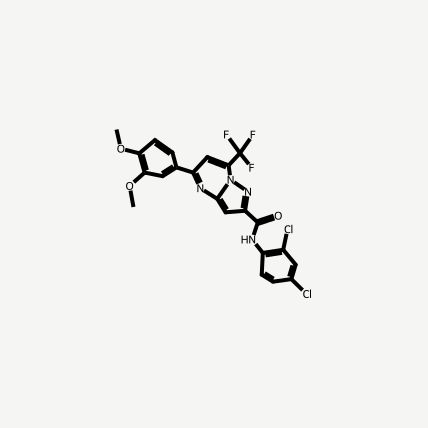 COc1ccc(-c2cc(C(F)(F)F)n3nc(C(=O)Nc4ccc(Cl)cc4Cl)cc3n2)cc1OC